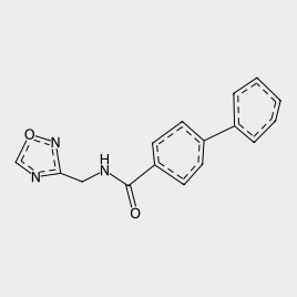 O=C(NCc1ncon1)c1ccc(-c2ccccc2)cc1